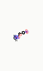 O=C(N[C@@H]1C[C@H]2CC[C@@H]1N2)c1ccc(-c2ccc([N+](=O)[O-])cc2)o1